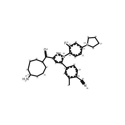 Cc1cc(-c2cc(C(=O)C3CCCC(N)CCC3)nn2-c2ccc(N3CCCC3)cc2F)ccc1C#N